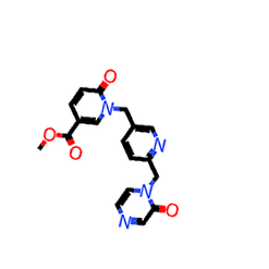 COC(=O)c1ccc(=O)n(Cc2ccc(Cn3ccncc3=O)nc2)c1